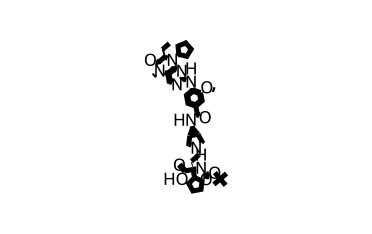 CC[C@@H]1C(=O)N(C)c2cnc(Nc3ccc(C(=O)NC4C5CN(CC[C@@](NC(=O)OC(C)(C)C)(C(=O)O)C6CCCC6)CC54)cc3OC)nc2N1C1CCCC1